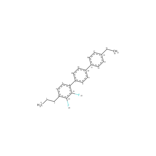 CCCc1ccc(-c2ccc(-c3ccc(CC)cc3)cc2)c(F)c1F